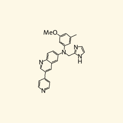 COc1cc(C)cc(N(Cc2ncc[nH]2)c2ccc3ncc(-c4ccncc4)cc3c2)c1